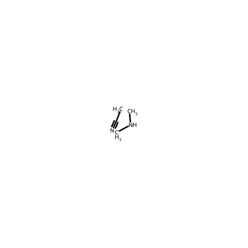 CC#N.CNC